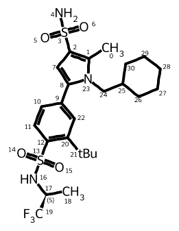 Cc1c(S(N)(=O)=O)cc(-c2ccc(S(=O)(=O)N[C@@H](C)C(F)(F)F)c(C(C)(C)C)c2)n1CC1CCCCC1